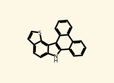 c1ccc2c(c1)c1ccccc1c1c2[nH]c2ccc3ccsc3c21